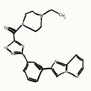 CCN1CCN(C(=O)c2nc(-c3cccc(-c4cn5ncccc5n4)c3)no2)CC1